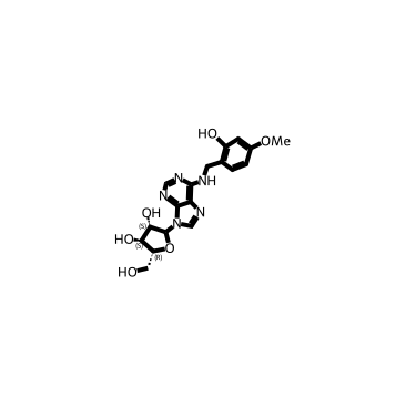 COc1ccc(CNc2ncnc3c2ncn3C2O[C@H](CO)[C@@H](O)[C@@H]2O)c(O)c1